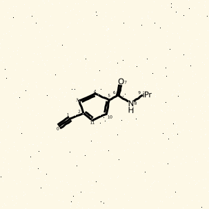 C#Cc1ccc(C(=O)NC(C)C)cc1